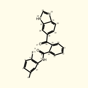 Cc1ccc(F)c(NC(=O)c2ccccc2C(=O)c2ccc3n[c][nH]c3c2)c1